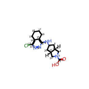 O=C(O)N1C[C@H]2C[C@H](Nc3nnc(Cl)c4c3CCCC4)C[C@H]2C1